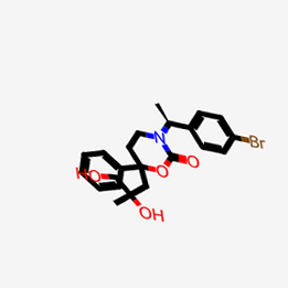 C[C@@H](c1ccc(Br)cc1)N1CCC(CC(C)(O)CO)(c2ccccc2)OC1=O